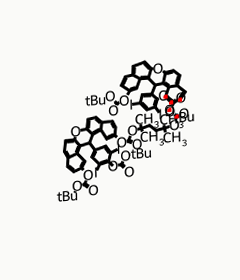 CC(C)(C)OC(=O)Oc1ccc2ccc3c(c2c1)C(c1cc(I)c(OC(=O)OC(C)(C)C)c(I)c1)c1c(ccc2ccc(OC(=O)OC(C)(C)CCC(C)(C)OC(=O)Oc4ccc5ccc6c(c5c4)C(c4cc(I)cc(I)c4OC(=O)OC(C)(C)C)c4c(ccc5ccc(OC(=O)OC(C)(C)C)cc45)O6)cc12)O3